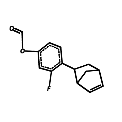 O=COc1ccc(C2CC3C=CC2C3)c(F)c1